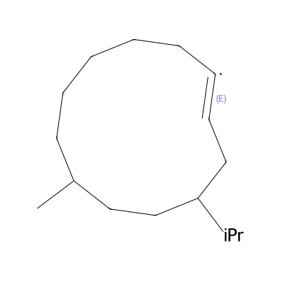 CC1CCCCC/[C]=C/CC(C(C)C)CC1